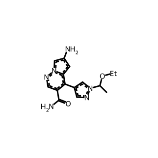 CCOC(C)n1cc(-c2c(C(N)=O)cnn3cc(N)cc23)cn1